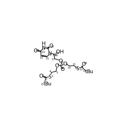 CC(C)(C)C(=O)SCCOP(=O)(OCCSC(=O)C(C)(C)C)OC[C@@H](O)n1ccc(=O)[nH]c1=O